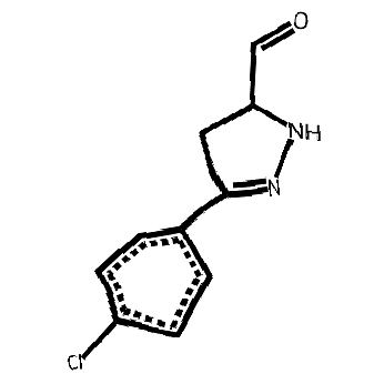 O=CC1CC(c2ccc(Cl)cc2)=NN1